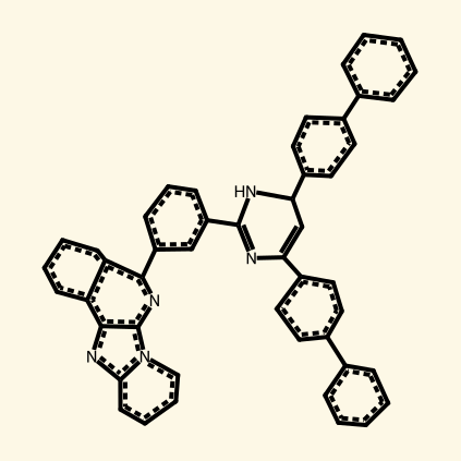 C1=C(c2ccc(-c3ccccc3)cc2)N=C(c2cccc(-c3nc4c(nc5ccccn54)c4ccccc34)c2)NC1c1ccc(-c2ccccc2)cc1